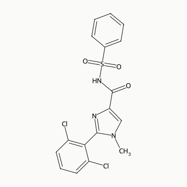 Cn1cc(C(=O)NS(=O)(=O)c2ccccc2)nc1-c1c(Cl)cccc1Cl